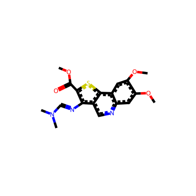 COC(=O)c1sc2c(cnc3cc(OC)c(OC)cc32)c1N=CN(C)C